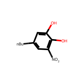 CCCCc1cc(O)c(O)c([N+](=O)[O-])c1